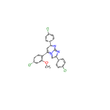 COc1cc(Cl)ccc1-c1cc(-c2ccc(Cl)cc2)nc2nc(-c3ccc(Cl)cc3)cn12